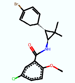 COc1ccc(Cl)cc1C(=O)N[C@H]1[C@H](C2C=CC(Br)=CC2)C1(C)C